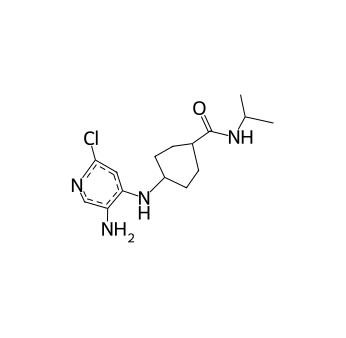 CC(C)NC(=O)C1CCC(Nc2cc(Cl)ncc2N)CC1